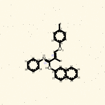 CC(=C\Oc1ccc(C)cc1)/C(=N/c1ccccc1)Oc1ccc2ccccc2c1